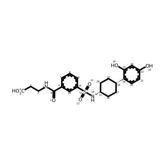 O=C(O)CCNC(=O)c1cccc(S(=O)(=O)N[C@H]2CC[C@@H](c3ccc(O)cc3O)CC2)c1